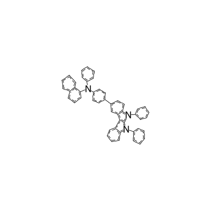 c1ccc(N(c2ccc(-c3ccc4c(c3)c3c5ccccc5n(-c5ccccc5)c3n4-c3ccccc3)cc2)c2cccc3ccccc23)cc1